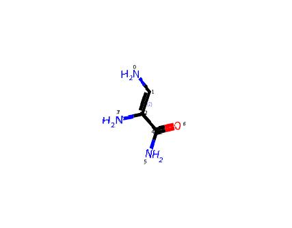 N/C=C(\N)C(N)=O